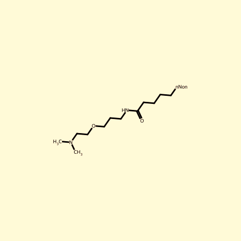 CCCCCCCCCCCCCC(=O)NCCCOCCN(C)C